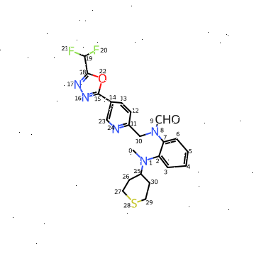 CN(c1ccccc1N(C=O)Cc1ccc(-c2nnc(C(F)F)o2)cn1)C1CCSCC1